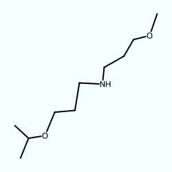 COCCCNCCCOC(C)C